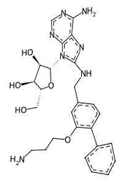 NCCCOc1cc(CNc2nc3c(N)ncnc3n2[C@@H]2O[C@H](CO)[C@@H](O)[C@H]2O)ccc1-c1ccccc1